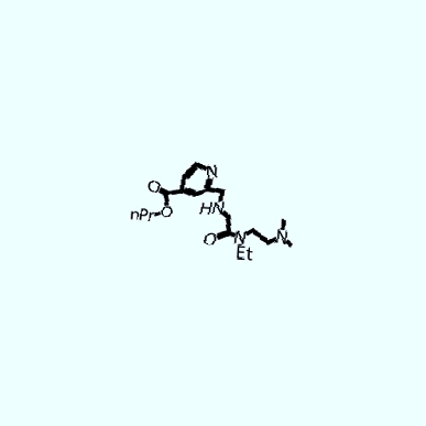 CCCOC(=O)c1ccnc(CNCC(=O)N(CC)CCN(C)C)c1